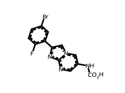 O=C(O)Nc1cnc2nc(-c3cc(Br)ccc3F)cn2c1